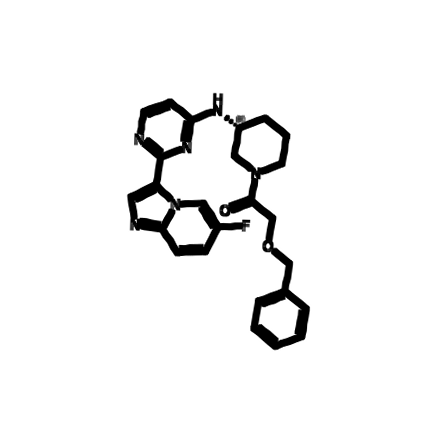 O=C(COCc1ccccc1)N1CCC[C@@H](Nc2ccnc(-c3cnc4ccc(F)cn34)n2)C1